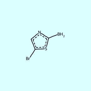 Bc1ncc(Br)s1